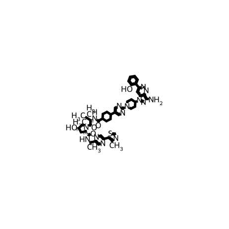 Cc1ncsc1-c1cnc([C@@H](C)NC(=O)[C@@H]2C[C@@H](O)CN2C(=O)[C@@H](NC(=O)C2CCC(c3cnc(N4CCC(n5nc(N)c6nnc(-c7ccccc7O)cc65)CC4)nc3)CC2)C(C)(C)C)cn1